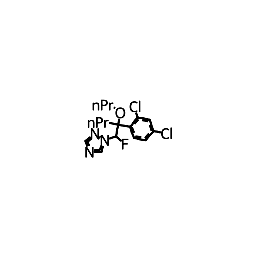 CCCOC(CCC)(c1ccc(Cl)cc1Cl)C(F)n1cncn1